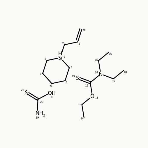 C=CC[SiH]1CCCCC1.CCOC(=S)N(CC)CC.NC(O)=S